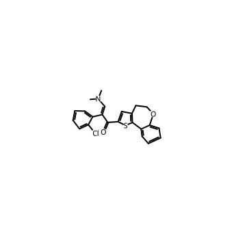 CN(C)/C=C(/C(=O)c1cc2c(s1)-c1ccccc1OCC2)c1ccccc1Cl